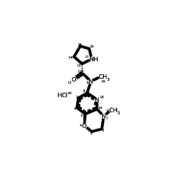 CN1CCOc2ccc(N(C)C(=O)[C@@H]3CCCN3)nc21.Cl